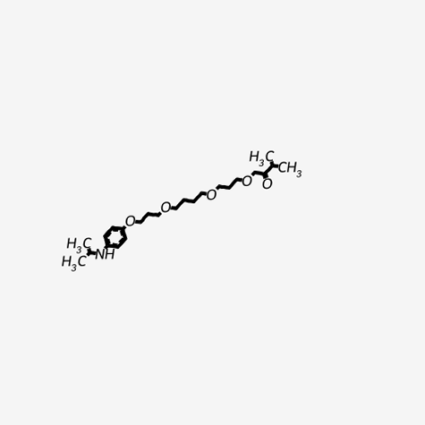 CC(C)Nc1ccc(OCCCOCCCCOCCCOCC(=O)C(C)C)cc1